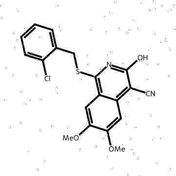 COc1cc2c(SCc3ccccc3Cl)nc(O)c(C#N)c2cc1OC